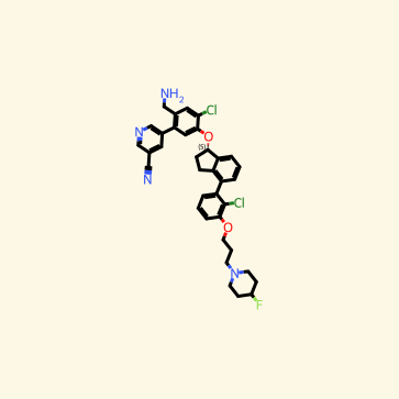 N#Cc1cncc(-c2cc(O[C@H]3CCc4c(-c5cccc(OCCCN6CCC(F)CC6)c5Cl)cccc43)c(Cl)cc2CN)c1